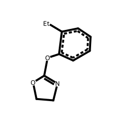 CCc1ccccc1OC1=NCCO1